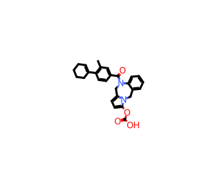 Cc1cc(C(=O)N2Cc3ccc(OC(=O)O)n3Cc3ccccc32)ccc1C1=CCCCC1